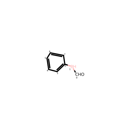 O=CBc1ccccc1